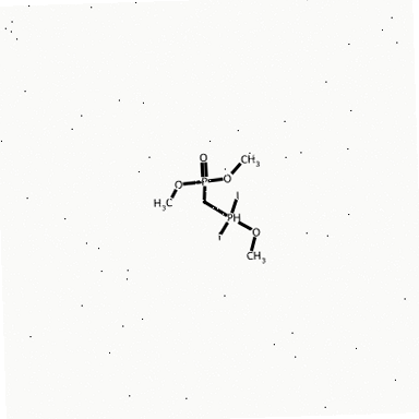 COP(=O)(C[PH](I)(I)OC)OC